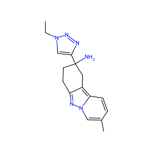 CCn1cc(C2(N)CCc3nn4cc(C)ccc4c3C2)nn1